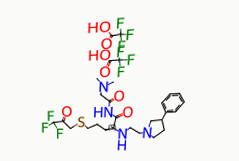 CN(C)CC(=O)NC(=O)[C@H](CCCSCC(=O)C(F)(F)F)NCCN1CCC(c2ccccc2)C1.O=C(O)C(F)(F)F.O=C(O)C(F)(F)F